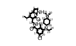 CCc1cc2cc[nH]n2c(=O)c1CNC(=O)c1cc(Cl)cc(N(CC)[C@H]2CC[C@H](N(C)C)CC2)c1C